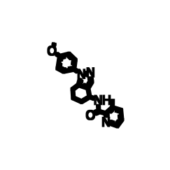 COc1ccc(-n2ncc3c2CCCC3NC(=O)c2ncccc2C)cc1